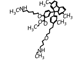 CCNCCCOCCCCc1ccc(C2(c3ccc(OCCCCCCNC)c(C(=O)OCC)c3)c3cc(C)ccc3-c3ccc(C)cc32)cc1C